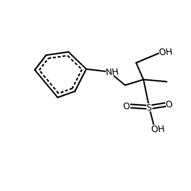 CC(CO)(CNc1ccccc1)S(=O)(=O)O